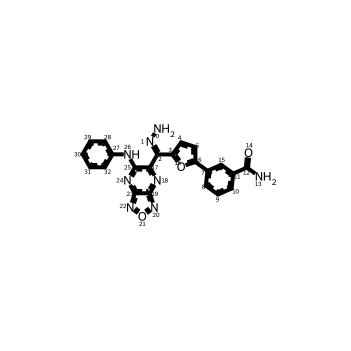 NN=C(c1ccc(-c2cccc(C(N)=O)c2)o1)c1nc2nonc2nc1Nc1ccccc1